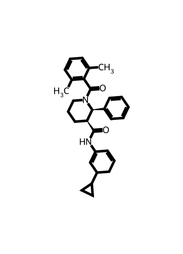 Cc1cccc(C)c1C(=O)N1CCC[C@H](C(=O)NC2=CC(C3CC3)CC=C2)[C@@H]1c1ccccc1